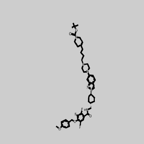 COc1ccc(COc2c(F)cc(C(=O)NC[C@H]3CC[C@H](n4cc5ccc(N6CCN(CCCCC7CCN(C(=O)OC(C)(C)C)CC7)CC6)cc5n4)CC3)c(F)c2F)cc1